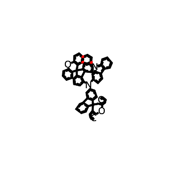 c1ccc(-n2c3ccccc3c3ccc(N(c4ccc5c(c4)-c4ccccc4C54c5ccccc5Oc5ccccc54)c4cccc5c4-c4ccccc4C54c5ccccc5Oc5ccccc54)cc32)cc1